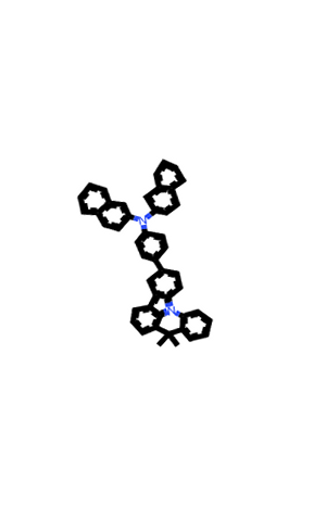 CC1(C)c2ccccc2-n2c3ccc(-c4ccc(N(c5ccc6ccccc6c5)c5ccc6ccccc6c5)cc4)cc3c3cccc1c32